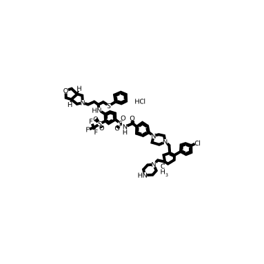 C[C@@]1(CN2CCNCC2)CCC(c2ccc(Cl)cc2)=C(CN2CCN(c3ccc(C(=O)NS(=O)(=O)c4ccc(NC(CCN5C[C@H]6COC[C@H]6C5)CSc5ccccc5)c(S(=O)(=O)C(F)(F)F)c4)cc3)CC2)C1.Cl